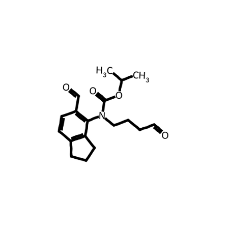 CC(C)OC(=O)N(CCCC=O)c1c(C=O)ccc2c1CCC2